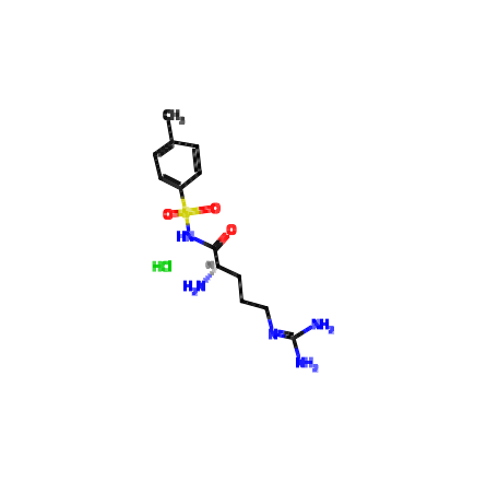 Cc1ccc(S(=O)(=O)NC(=O)[C@@H](N)CCCN=C(N)N)cc1.Cl